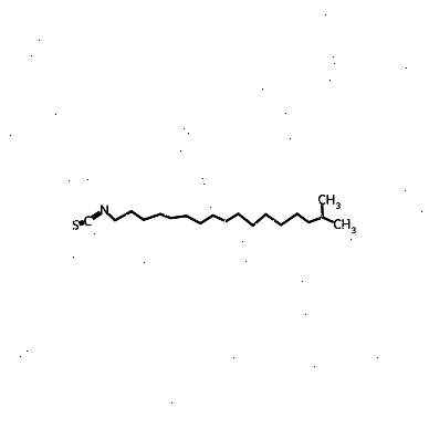 CC(C)CCCCCCCCCCCCCCCN=C=S